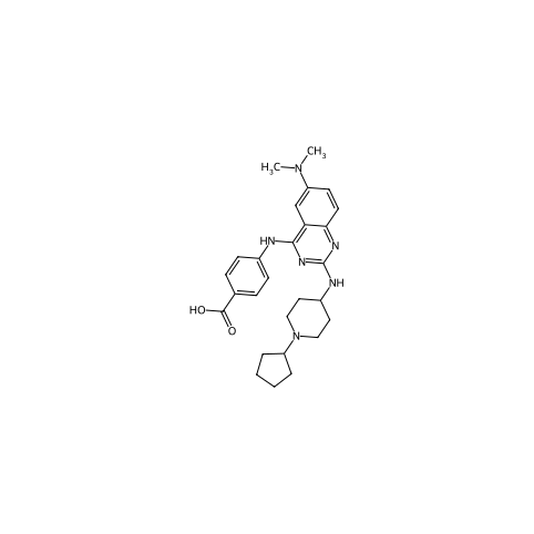 CN(C)c1ccc2nc(NC3CCN(C4CCCC4)CC3)nc(Nc3ccc(C(=O)O)cc3)c2c1